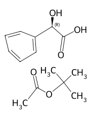 CC(=O)OC(C)(C)C.O=C(O)[C@H](O)c1ccccc1